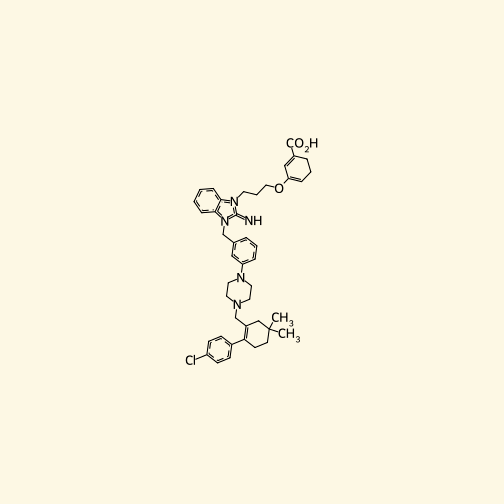 CC1(C)CCC(c2ccc(Cl)cc2)=C(CN2CCN(c3cccc(Cn4c(=N)n(CCCOC5=CCCC(C(=O)O)=C5)c5ccccc54)c3)CC2)C1